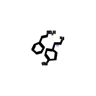 O=S(=O)(O)C=Cc1ccccc1.[2H]/C=C/c1ccc(C(C)(C)C)cc1